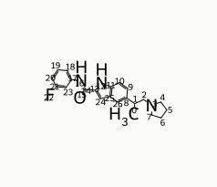 CC(CN1CCCC1)c1ccc2[nH]c(C(=O)Nc3cccc(F)c3)cc2c1